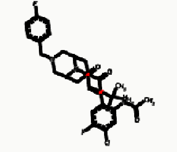 CC(=O)Nc1cc(Cl)c(F)cc1/C=C/C(=O)N1C2CN(Cc3ccc(F)cc3)CC1CN(C(=O)OC(C)(C)C)C2